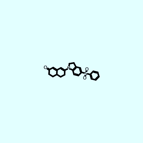 O=C1C=C2C=C(N3CCc4cc(S(=O)(=O)c5ccccc5)ccc43)CCC2CC1